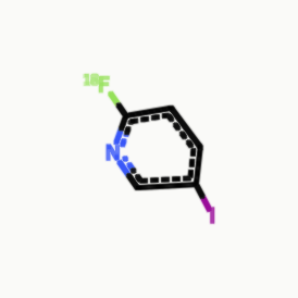 [18F]c1ccc(I)cn1